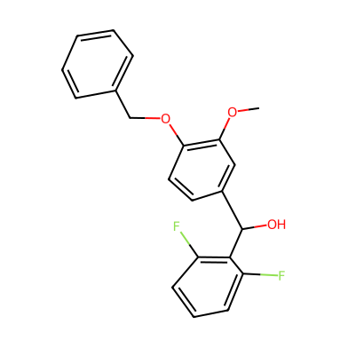 COc1cc(C(O)c2c(F)cccc2F)ccc1OCc1ccccc1